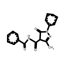 CC1=NN(c2ccccc2)C(=O)C1C(=O)NC(=O)c1ccccc1